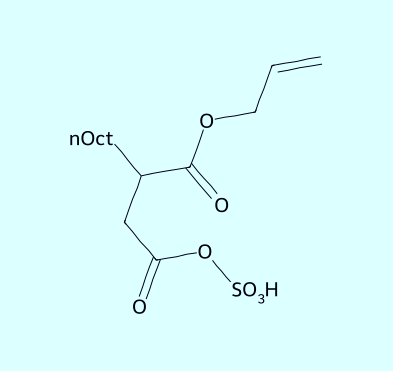 C=CCOC(=O)C(CCCCCCCC)CC(=O)OS(=O)(=O)O